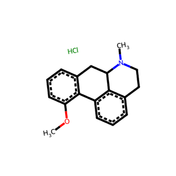 COc1cccc2c1-c1cccc3c1C(C2)N(C)CC3.Cl